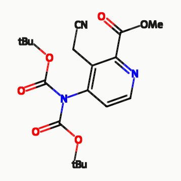 COC(=O)c1nccc(N(C(=O)OC(C)(C)C)C(=O)OC(C)(C)C)c1CC#N